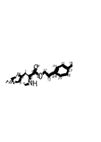 CN[C@@H](Cc1c[nH]cn1)C(=O)OCCc1ccc(C)cc1